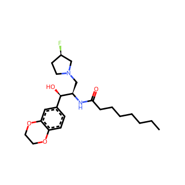 CCCCCCCC(=O)N[C@H](CN1CC[C@@H](F)C1)[C@H](O)c1ccc2c(c1)OCCO2